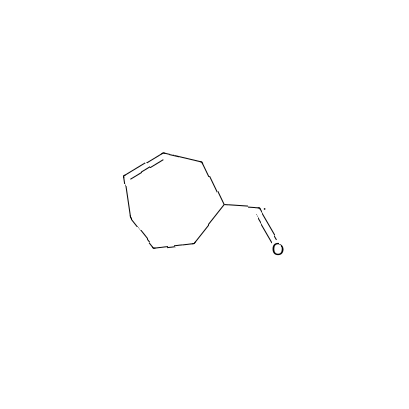 O=[C]C1CC=CCCC1